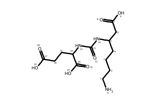 NCCCCC(CC(=O)O)NC(=O)NC(CCC(=O)O)C(=O)O